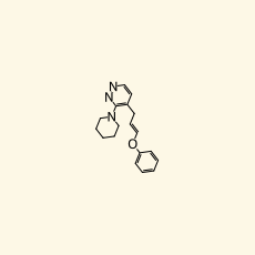 C(=COc1ccccc1)Cc1ccnnc1N1CCCCC1